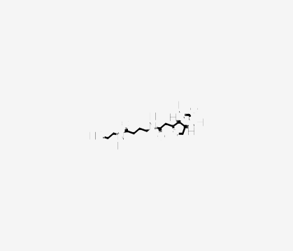 O=C(CCCNC(=O)CC1SC[C@H]2NC(=O)N[C@@H]12)NCCS